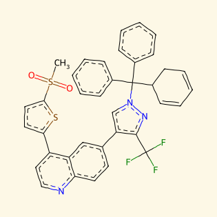 CS(=O)(=O)c1ccc(-c2ccnc3ccc(-c4cn(C(c5ccccc5)(c5ccccc5)C5C=CC=CC5)nc4C(F)(F)F)cc23)s1